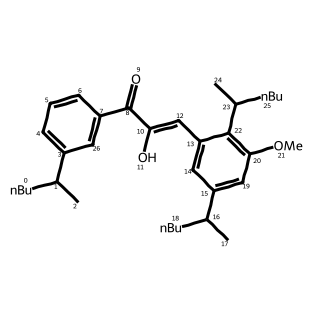 CCCCC(C)c1cccc(C(=O)C(O)=Cc2cc(C(C)CCCC)cc(OC)c2C(C)CCCC)c1